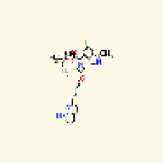 Cc1nccc2c(C(C(=O)OC(C)(C)C)N3CC(OCCCCCc4ccc5c(n4)NCCC5)C3)cc(F)cc12